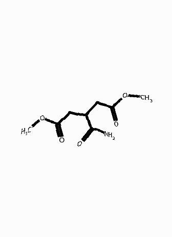 COC(=O)C[C](CC(=O)OC)C(N)=O